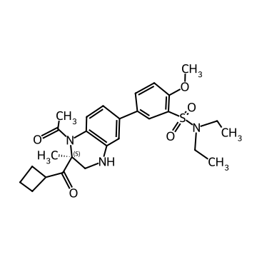 CCN(CC)S(=O)(=O)c1cc(-c2ccc3c(c2)NC[C@@](C)(C(=O)C2CCC2)N3C(C)=O)ccc1OC